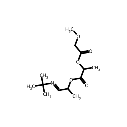 COCC(=O)OC(C)C(=O)OC(C)/C=N/C(C)(C)C